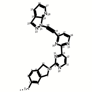 COc1ccc2c(c1)CN(c1nccc(-c3nccc(C#Cn4ncc5cccnc54)n3)n1)C2